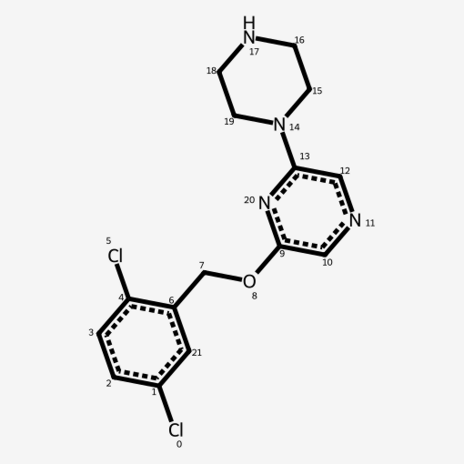 Clc1ccc(Cl)c(COc2cncc(N3CCNCC3)n2)c1